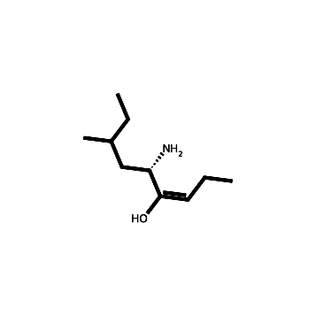 CC/C=C(/O)[C@@H](N)CC(C)CC